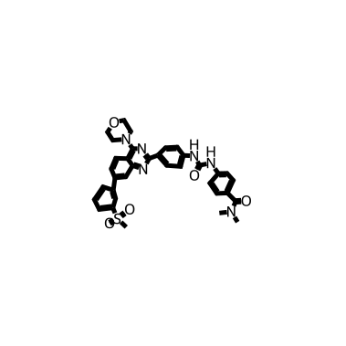 CN(C)C(=O)c1ccc(NC(=O)Nc2ccc(-c3nc(N4CCOCC4)c4ccc(-c5cccc(S(C)(=O)=O)c5)cc4n3)cc2)cc1